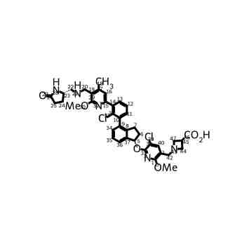 COc1nc(O[C@H]2CCc3c(-c4cccc(-c5cc(C)c(CNC[C@@H]6CCC(=O)N6)c(OC)n5)c4Cl)cccc32)c(Cl)cc1CN1CC(C(=O)O)C1